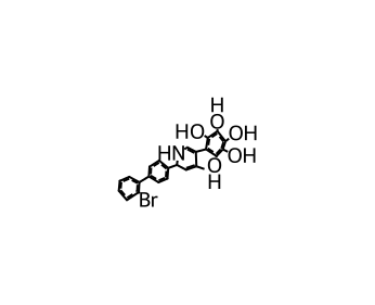 CC1=CC(c2ccc(-c3ccccc3Br)cc2)NC=C1c1c(O)c(O)c(O)c(O)c1O